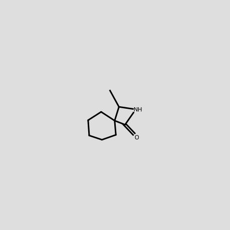 CC1NC(=O)C12CCCCC2